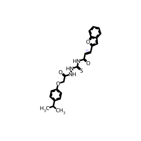 CC(C)c1ccc(OCC(=O)NNC(=S)NC(=O)/C=C/c2cc3ccccc3o2)cc1